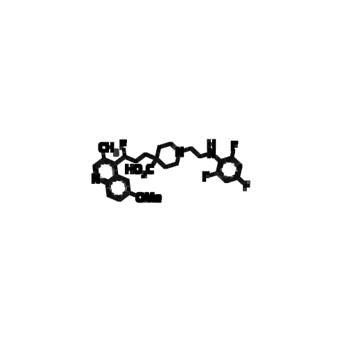 COc1ccc2ncc(C)c(C(F)CCC3(C(=O)O)CCN(CCNc4c(F)cc(F)cc4F)CC3)c2c1